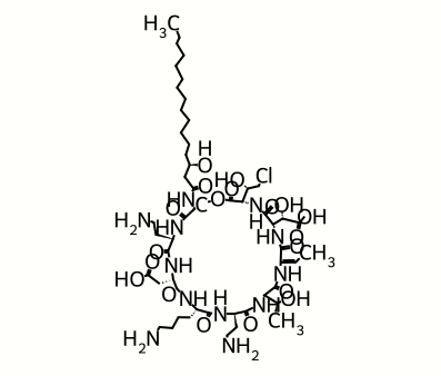 C/C=C1/NC(=O)[C@H]([C@H](C)O)NC(=O)[C@@H](CCN)NC(=O)[C@H](CCCCN)NC(=O)[C@H](CC(=O)O)NC(=O)[C@@H](CCN)NC(=O)[C@@H](NC(=O)C[C@H](O)CCCCCCCCCCCCC)COC(=O)[C@H]([C@H](O)CCl)NC(=O)[C@H]([C@H](O)C(=O)O)NC1=O